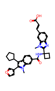 Cn1c(C2(NC(=O)c3ccc4c(C5CCCC5)c(-c5ccoc5)n(C)c4c3)CCC2)nc2ccc(/C=C/C(=O)O)cc21